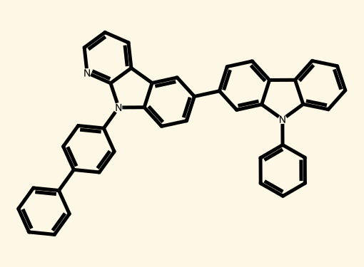 c1ccc(-c2ccc(-n3c4ccc(-c5ccc6c7ccccc7n(-c7ccccc7)c6c5)cc4c4cccnc43)cc2)cc1